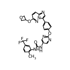 Cc1ccc(C(F)(F)F)cc1NC(=O)Nc1cnc(Oc2ccc(-c3cnc4ccc(OC5COC5)nn34)cc2)nc1